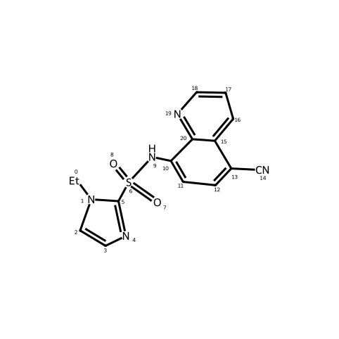 CCn1ccnc1S(=O)(=O)Nc1ccc(C#N)c2cccnc12